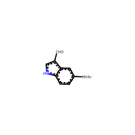 CC(=O)Nc1ccc2[nH]cc(C=O)c2c1